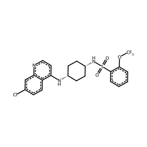 O=S(=O)(N[C@H]1CC[C@@H](Nc2ccnc3cc(Cl)ccc23)CC1)c1ccccc1OC(F)(F)F